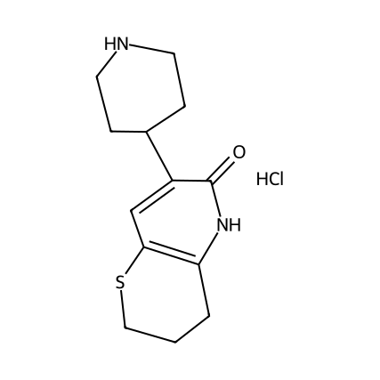 Cl.O=c1[nH]c2c(cc1C1CCNCC1)SCCC2